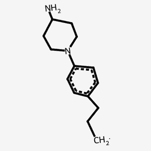 [CH2]CCc1ccc(N2CCC(N)CC2)cc1